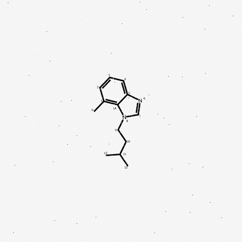 Cc1cccc2ncn(CCC(C)C)c12